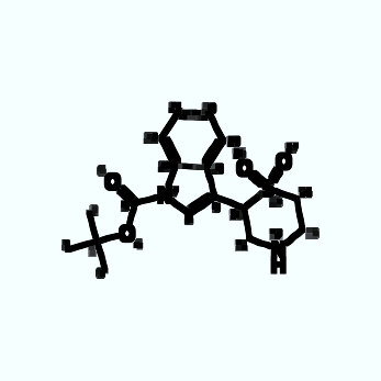 CC(C)(C)OC(=O)n1cc(C2CNCCS2(=O)=O)c2ccccc21